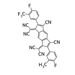 Cc1cc(C2=C(C#N)c3cc4c(cc3C2=C(C#N)C#N)C(=C(C#N)C#N)C(c2ccc(F)c(C(F)(F)F)c2)=C4C#N)ccc1F